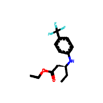 CCOC(=O)C[C@@H](CC)Nc1ccc(C(F)(F)F)cc1